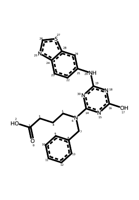 O=C(O)CCCN(Cc1ccccc1)c1nc(O)nc(Nc2ccc3ncsc3c2)n1